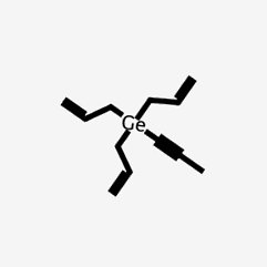 C=C[CH2][Ge]([C]#CC)([CH2]C=C)[CH2]C=C